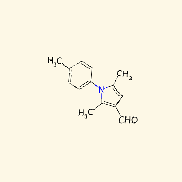 Cc1ccc(-n2c(C)cc(C=O)c2C)cc1